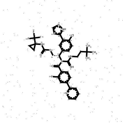 CC(C)(C)CCNC(=N)N(C(=O)c1ccc(-c2ccccn2)cc1F)[C@H](COC(=O)NC1(C(F)(F)F)CC1)c1ccc(Cl)c(-c2ncn[nH]2)c1